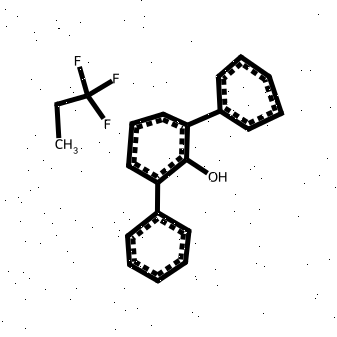 CCC(F)(F)F.Oc1c(-c2ccccc2)cccc1-c1ccccc1